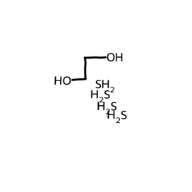 OCCO.S.S.S.S